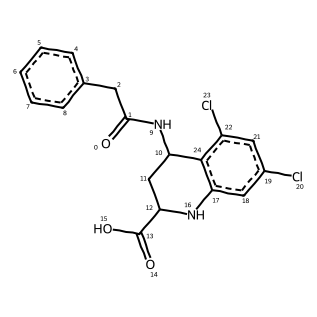 O=C(Cc1ccccc1)NC1CC(C(=O)O)Nc2cc(Cl)cc(Cl)c21